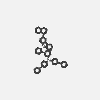 c1ccc(-c2ccc(N(c3ccc(-c4ccccc4)cc3)c3cccc(-c4ccccc4-n4c5ccccc5c5cc(-c6cccc7ccccc67)ccc54)c3)cc2)cc1